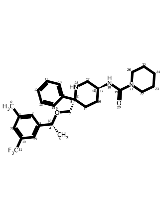 Cc1cc([C@@H](C)OC[C@@]2(c3ccccc3)CC[C@H](NC(=O)N3CCCCC3)CN2)cc(C(F)(F)F)c1